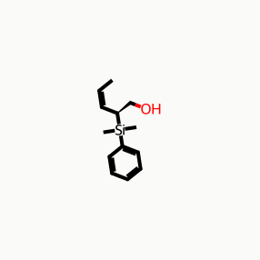 C/C=C\[C@@H](CO)[Si](C)(C)c1ccccc1